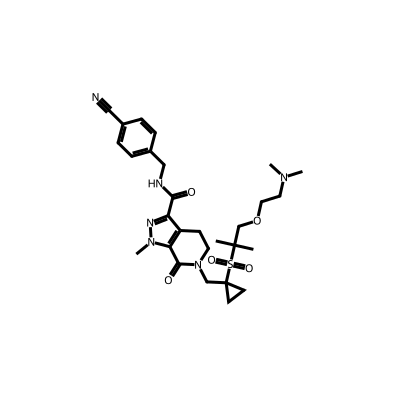 CN(C)CCOCC(C)(C)S(=O)(=O)C1(CN2CCc3c(C(=O)NCc4ccc(C#N)cc4)nn(C)c3C2=O)CC1